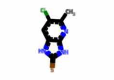 Cc1nc2[nH]c(=S)[nH]c2cc1Cl